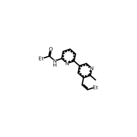 CC/C=C\c1cc(-c2cccc(NC(=O)CC)n2)cnc1C